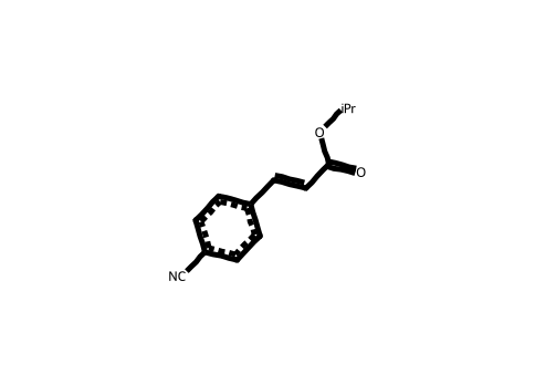 CC(C)OC(=O)C=Cc1ccc(C#N)cc1